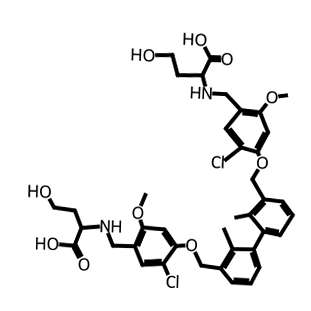 COc1cc(OCc2cccc(-c3cccc(COc4cc(OC)c(CNC(CCO)C(=O)O)cc4Cl)c3C)c2C)c(Cl)cc1CNC(CCO)C(=O)O